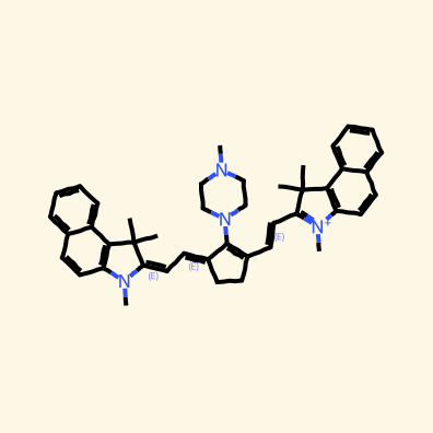 CN1CCN(C2=C(/C=C/C3=[N+](C)c4ccc5ccccc5c4C3(C)C)CC/C2=C\C=C2\N(C)c3ccc4ccccc4c3C2(C)C)CC1